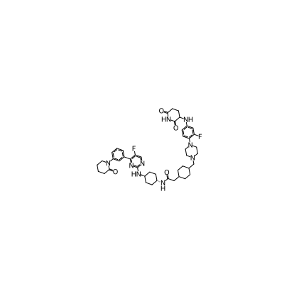 O=C1CCC(Nc2ccc(N3CCN(CC4CCC(CC(=O)N[C@H]5CC[C@H](Nc6ncc(F)c(-c7cccc(N8CCCCC8=O)c7)n6)CC5)CC4)CC3)c(F)c2)C(=O)N1